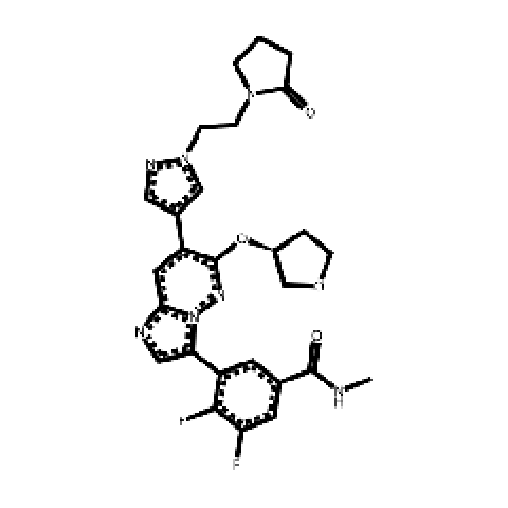 CNC(=O)c1cc(F)c(F)c(-c2cnc3cc(-c4cnn(CCN5CCCC5=O)c4)c(O[C@H]4CCOC4)nn23)c1